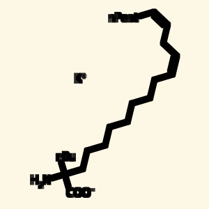 CCCCC/C=C\C/C=C\CCCCCCCCC(N)(CCCC)C(=O)[O-].[K+]